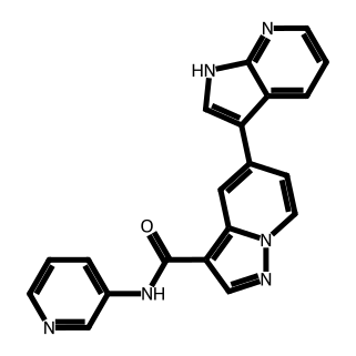 O=C(Nc1cccnc1)c1cnn2ccc(-c3c[nH]c4ncccc34)cc12